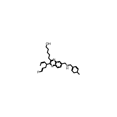 C/C=C\C(C/C=C/F)c1nc2ccc(CNCC3=CCC(C)C=C3)cc2nc1CCCCCO